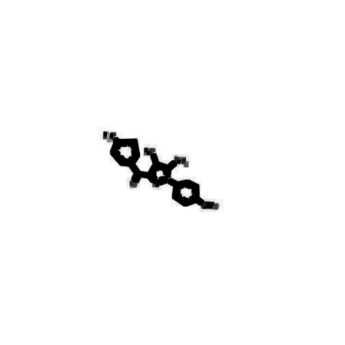 COc1ccc(-n2nc(C(=O)c3ccc(C(F)(F)F)cc3)c(C#N)c2N)cc1